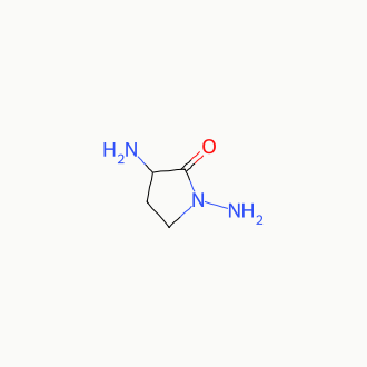 NC1CCN(N)C1=O